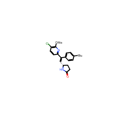 COc1nc(C(=C[C@@H]2CCC(=O)N2)c2ccc(C(C)(C)C)cc2)ccc1Cl